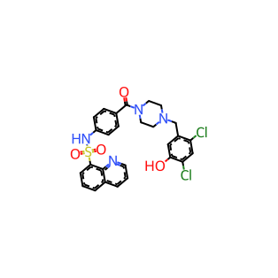 O=C(c1ccc(NS(=O)(=O)c2cccc3cccnc23)cc1)N1CCN(Cc2cc(O)c(Cl)cc2Cl)CC1